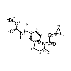 CC(NC(=O)OC(C)(C)C)c1ccc2c(n1)CCC(C)N2C(=O)OC1CC1